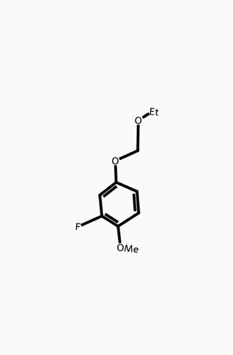 CCOCOc1ccc(OC)c(F)c1